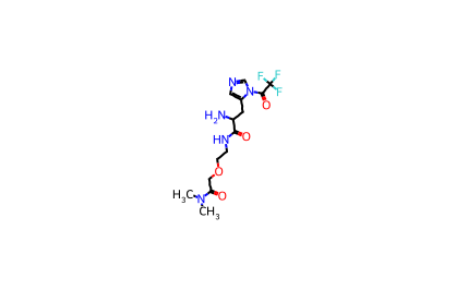 CN(C)C(=O)COCCNC(=O)C(N)Cc1cncn1C(=O)C(F)(F)F